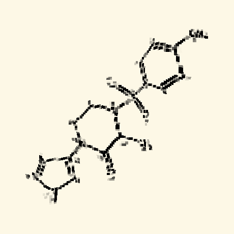 COc1ccc(S(=O)(=O)N2CCN(c3c[nH]nn3)C(=O)C2C)cc1